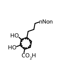 CCCCCCCCCCCCc1ccc(C(=O)O)c(O)c1O